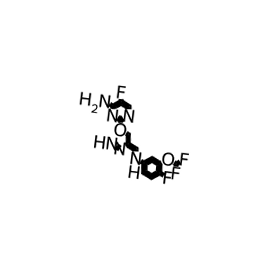 N=N/C(=C\Nc1ccc(F)c(OC(F)F)c1)COc1ncc(F)c(N)n1